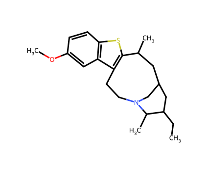 CCC1CC2CC(C)c3sc4ccc(OC)cc4c3CCN(C2)C1C